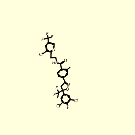 Cc1cc(C2=NOC(c3cc(Cl)c(F)c(Cl)c3)(C(F)(F)F)C2)ccc1C(=O)NCCc1ncc(C(F)(F)F)cc1Cl